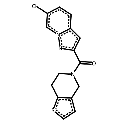 O=C(c1cc2ccc(Cl)cn2n1)N1CCc2sccc2C1